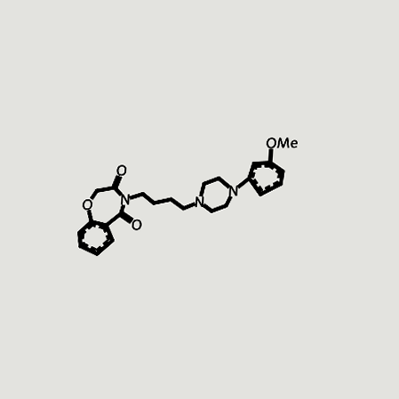 COc1cccc(N2CCN(CCCCN3C(=O)COc4ccccc4C3=O)CC2)c1